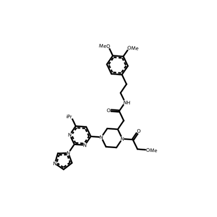 COCC(=O)N1CCN(c2cc(C(C)C)nc(-n3ccnc3)n2)CC1CC(=O)NCCc1ccc(OC)c(OC)c1